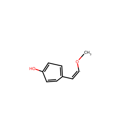 CO/[C]=C\c1ccc(O)cc1